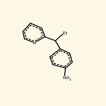 CCC(c1ccc([N+](=O)[O-])cc1)c1ccccn1